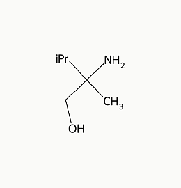 CC(C)C(C)(N)CO